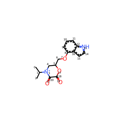 CC(C)[N+]1CC(COc2cccc3[nH]ccc23)OC(=O)C1=O